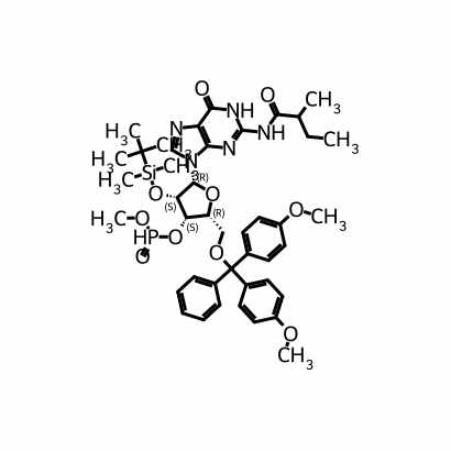 CCC(C)C(=O)Nc1nc2c(ncn2[C@@H]2O[C@H](COC(c3ccccc3)(c3ccc(OC)cc3)c3ccc(OC)cc3)[C@H](O[PH](=O)OC)[C@@H]2O[Si](C)(C)C(C)(C)C)c(=O)[nH]1